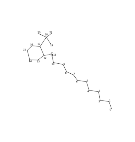 CCCCCCCCCCCSC1CCCCC1C(C)(C)C